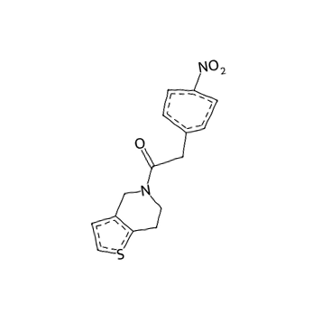 O=C(Cc1ccc([N+](=O)[O-])cc1)N1CCc2sccc2C1